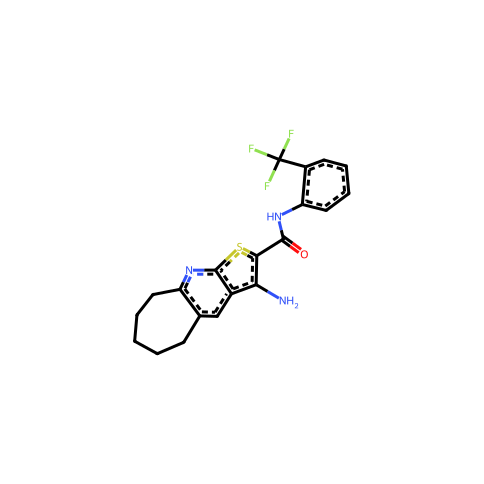 Nc1c(C(=O)Nc2ccccc2C(F)(F)F)sc2nc3c(cc12)CCCCC3